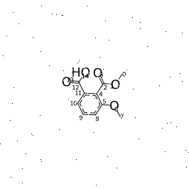 COC(=O)c1c(OC)cccc1C(=O)O